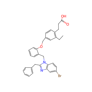 CCc1cc(COc2ccccc2Cn2c(Cc3ccccc3)nc3cc(Br)ccc32)ccc1CCC(=O)O